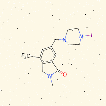 CN1Cc2c(cc(CN3CCN(I)CC3)cc2C(F)(F)F)C1=O